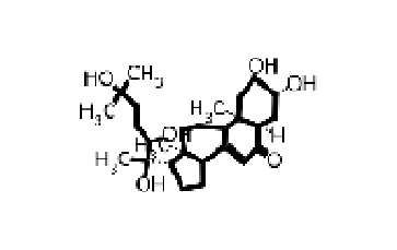 CC(C)(O)CC[C@@H](O)C(C)(O)[C@H]1CCC2C3=CC(=O)[C@@H]4C[C@@H](O)[C@@H](O)C[C@]4(C)C3CC[C@@]21C